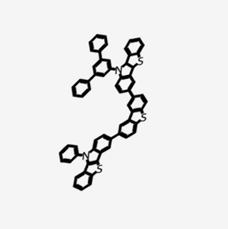 c1ccc(-c2cc(-c3ccccc3)cc(N3c4ccc(-c5ccc6sc7ccc(-c8ccc9c(c8)c8sc%10ccccc%10c8n9-c8ccccc8)cc7c6c5)cc4C4Sc5ccccc5C43)c2)cc1